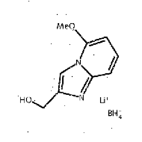 COc1cccc2nc(CO)cn12.[BH4-].[Li+]